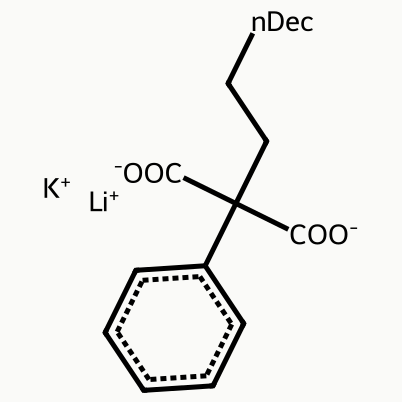 CCCCCCCCCCCCC(C(=O)[O-])(C(=O)[O-])c1ccccc1.[K+].[Li+]